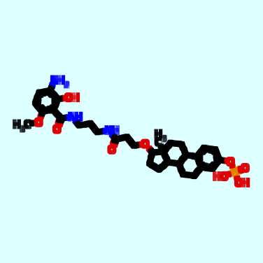 COc1ccc(N)c(O)c1C(=O)NCCCNC(=O)CCOC1CCC2C3CCc4cc(OP(=O)(O)O)ccc4C3CCC12C